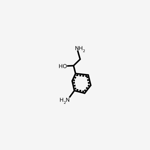 NCC(O)c1cccc(N)c1